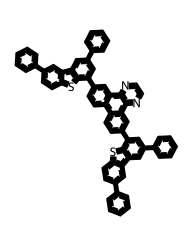 c1ccc(-c2ccc3sc4c(-c5ccc6c7ccc(-c8cc(-c9ccccc9)cc9c8sc8ccc(-c%10ccccc%10)cc89)cc7c7nccnc7c6c5)cc(-c5ccccc5)cc4c3c2)cc1